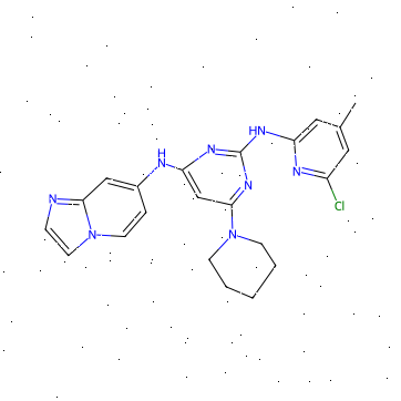 Cc1cc(Cl)nc(Nc2nc(Nc3ccn4ccnc4c3)cc(N3CCCCC3)n2)c1